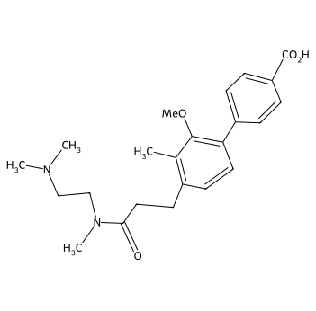 COc1c(-c2ccc(C(=O)O)cc2)ccc(CCC(=O)N(C)CCN(C)C)c1C